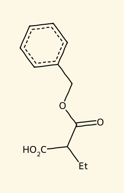 CCC(C(=O)O)C(=O)OCc1ccccc1